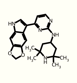 CC1(C)CC(Nc2nccc(-c3c[nH]c4cc5c(cc34)OCO5)n2)CC(C)(C)N1